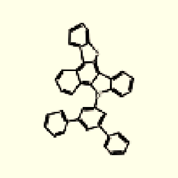 c1ccc(-c2cc(-c3ccccc3)cc(-n3c4ccccc4c4c5sc6ccccc6c5c5ccccc5c43)c2)cc1